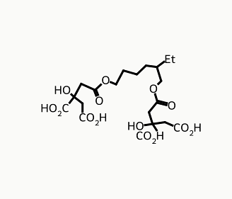 CCC(CCCCOC(=O)CC(O)(CC(=O)O)C(=O)O)COC(=O)CC(O)(CC(=O)O)C(=O)O